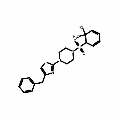 CC1(Cl)C=CC=CC1S(=O)(=O)N1CCN(c2nc(Cc3ccccc3)cs2)CC1